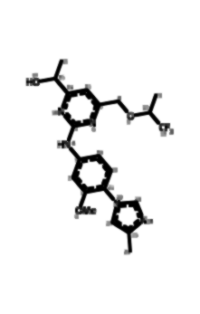 COc1cc(Nc2nc(COC(C)C(F)(F)F)cc(C(C)O)n2)ccc1-n1cnc(C)c1